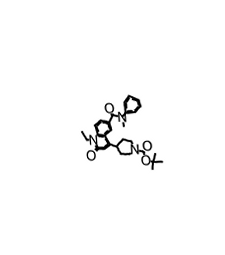 CCn1c(=O)cc(C2CCN(C(=O)OC(C)(C)C)CC2)c2cc(C(=O)N(C)c3ccccc3)ccc21